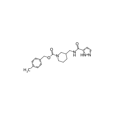 Cc1ccc(COC(=O)N2CCCC(CNC(=O)c3ccn[nH]3)C2)cc1